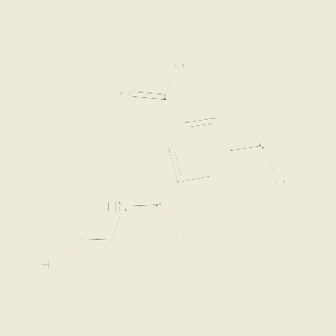 C=CCNC(=O)c1cc(C(=O)O)cc(C(=O)O)c1